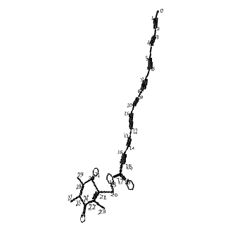 CC#CC#CC#CC#CC#CC#CC#CC#CC(=O)OCC1=C(C)C(=O)C(C)=C(C)C1=O